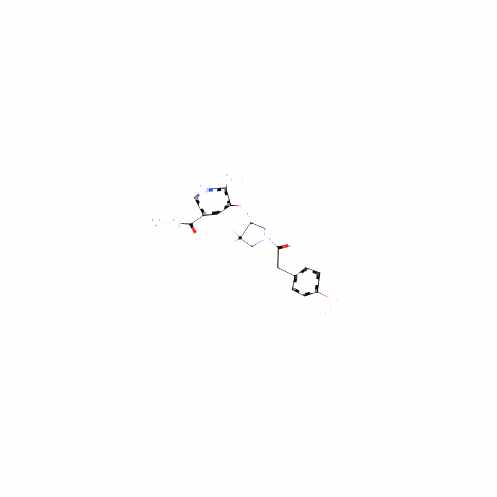 CNC(=O)c1cnc(N)c(O[C@H]2CN(C(=O)Cc3ccc(OC(F)(F)F)cc3)CC2(F)F)c1